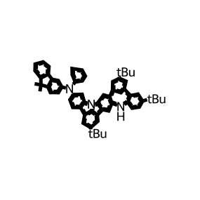 CC(C)(C)c1cc2cc(c1)c1cc3c(cc1[nH]c1ccc(C(C)(C)C)cc21)c1cc(C(C)(C)C)cc2c4ccc(N(c5ccccc5)c5ccc6c(c5)-c5ccccc5C6(C)C)cc4n3c21